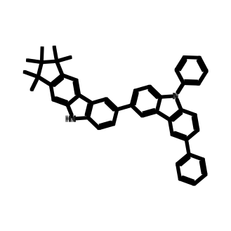 CC1(C)c2cc3[nH]c4ccc(-c5ccc6c(c5)c5cc(-c7ccccc7)ccc5n6-c5ccccc5)cc4c3cc2C(C)(C)C1(C)C